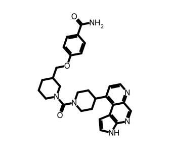 NC(=O)c1ccc(OCC2CCCN(C(=O)N3CCC(c4ccnc5cnc6[nH]ccc6c45)CC3)C2)cc1